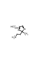 CC1(CCN)N=CC=N1.Cl.Cl